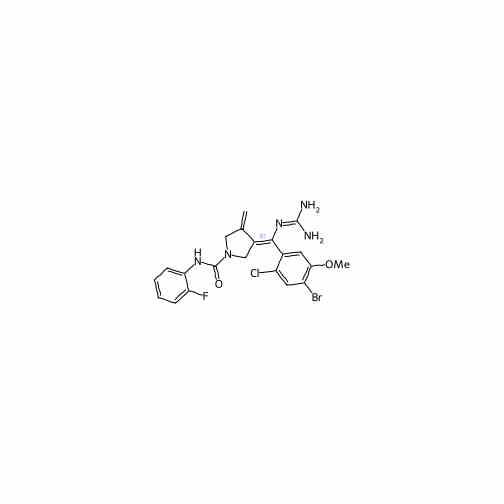 C=C1CN(C(=O)Nc2ccccc2F)C/C1=C(/N=C(N)N)c1cc(OC)c(Br)cc1Cl